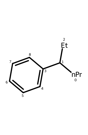 [CH2]CCC(CC)c1ccccc1